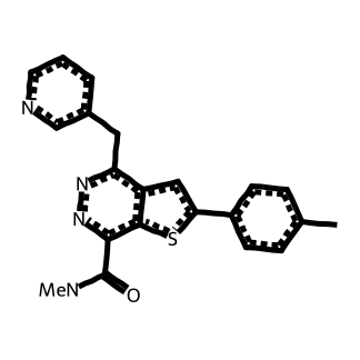 CNC(=O)c1nnc(Cc2cccnc2)c2cc(-c3ccc(C)cc3)sc12